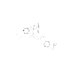 CC(=O)Oc1ccc2c3c1O[C@H]1[C@@H](OC(=O)Oc4ccc([N+](=O)[O-])cc4)C=C[C@H]4[C@H]5C[C@@]2(C[C@@]341)N5C